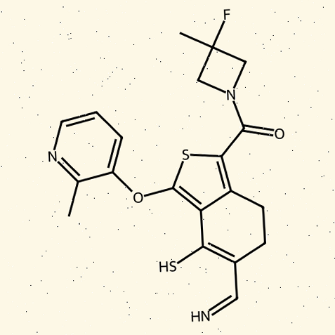 Cc1ncccc1Oc1sc(C(=O)N2CC(C)(F)C2)c2c1C(S)=C(C=N)CC2